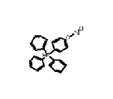 [Cl][Pd][Cl].c1ccc([PH](c2ccccc2)(c2ccccc2)c2ccccc2)cc1